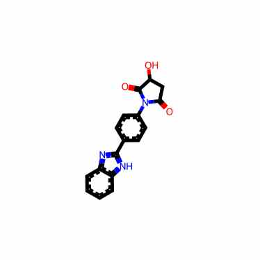 O=C1CC(O)C(=O)N1c1ccc(-c2nc3ccccc3[nH]2)cc1